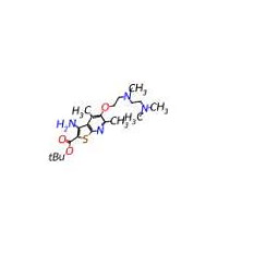 Cc1nc2sc(C(=O)OC(C)(C)C)c(N)c2c(C)c1OCCN(C)CCN(C)C